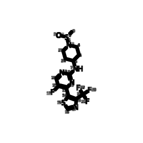 C[S+]([O-])N1CCC(Nc2ncc(F)c(-c3scnc3C(F)(F)F)n2)CC1